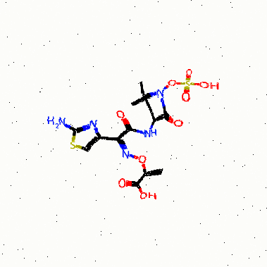 C=C(O/N=C(\C(=O)NC1C(=O)N(OS(=O)(=O)O)C1(C)C)c1csc(N)n1)C(=O)O